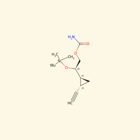 C#C[C@H]1C[C@@H]1[C@H](COC(N)=O)O[Si](C)(C)C(C)(C)C